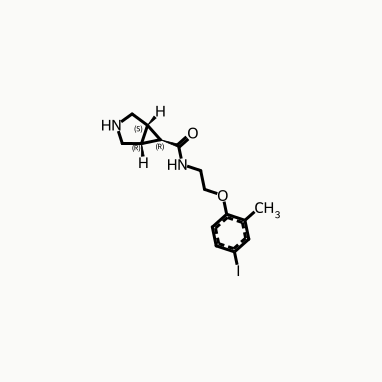 Cc1cc(I)ccc1OCCNC(=O)[C@H]1[C@@H]2CNC[C@@H]21